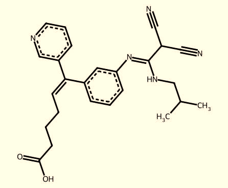 CC(C)CNC(=Nc1cccc(/C(=C\CCCC(=O)O)c2cccnc2)c1)C(C#N)C#N